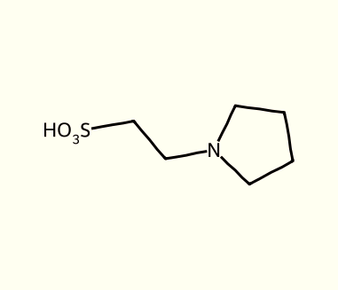 O=S(=O)(O)CCN1CCCC1